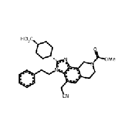 COC(=O)N1CCc2cc(CC#N)c3c(nc([C@H]4CC[C@H](C(=O)O)CC4)n3CCc3ccccc3)c2C1